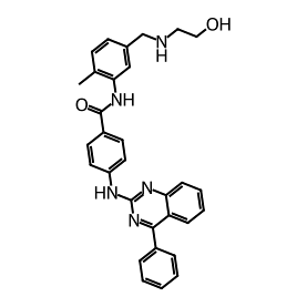 Cc1ccc(CNCCO)cc1NC(=O)c1ccc(Nc2nc(-c3ccccc3)c3ccccc3n2)cc1